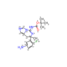 CC(C)(C)OC(=O)NC1=NC(C)(c2cc(N)ccc2F)Cc2cncn21